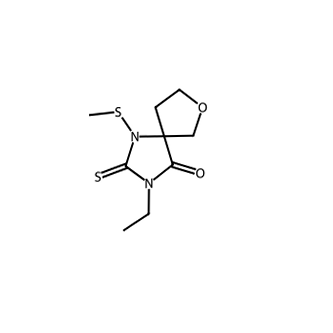 CCN1C(=O)C2(CCOC2)N(SC)C1=S